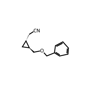 N#CC[C@H]1C[C@@H]1COCc1ccccc1